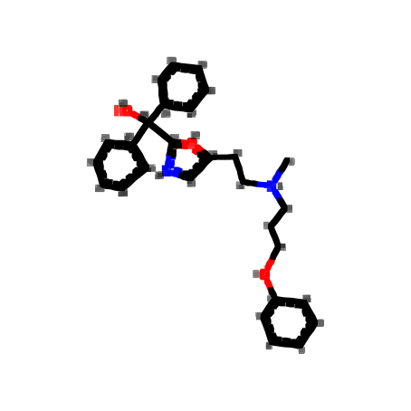 CN(CCCOc1ccccc1)CCc1cnc(C(O)(c2ccccc2)c2ccccc2)o1